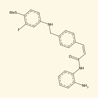 CSc1ccc(NCc2ccc(/C=C\C(=O)Nc3ccccc3N)cc2)cc1F